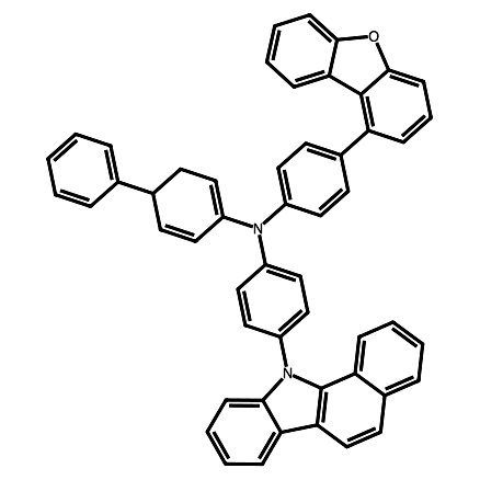 C1=CC(c2ccccc2)CC=C1N(c1ccc(-c2cccc3oc4ccccc4c23)cc1)c1ccc(-n2c3ccccc3c3ccc4ccccc4c32)cc1